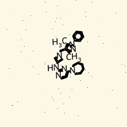 Cc1nn(-c2ccccc2)c(C)c1CN1CC(Nc2nccc(N3CCCCCC3)n2)C1